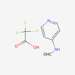 O=C(O)C(F)(F)F.O=CNc1ccncc1